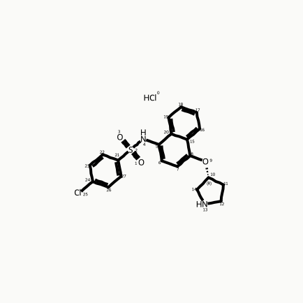 Cl.O=S(=O)(Nc1ccc(O[C@@H]2CCNC2)c2ccccc12)c1ccc(Cl)cc1